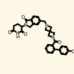 O=C1CCC(N2Cc3cc(CN4CC5(C4)CN(C(=O)c4ccccc4-c4ccc(Cl)cc4)C5)ccc3C2=O)C(=O)N1